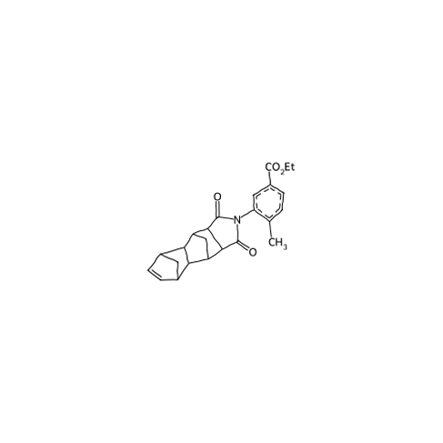 CCOC(=O)c1ccc(C)c(N2C(=O)C3C4CC(C3C2=O)C2C3C=CC(C3)C42)c1